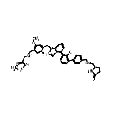 COc1cc(Cn2ncc3c(-c4cccc(-c5ccc(CNCC6CCC(=O)N6)cc5)c4Cl)cccc32)c(Cl)cc1CNC/C(=N/N)NN